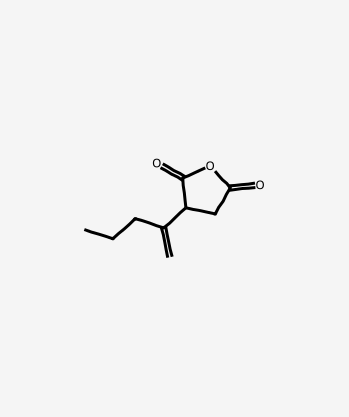 C=C(CCC)C1CC(=O)OC1=O